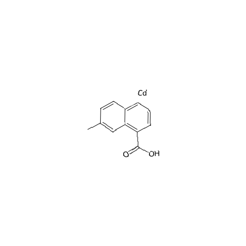 Cc1ccc2cccc(C(=O)O)c2c1.[Cd]